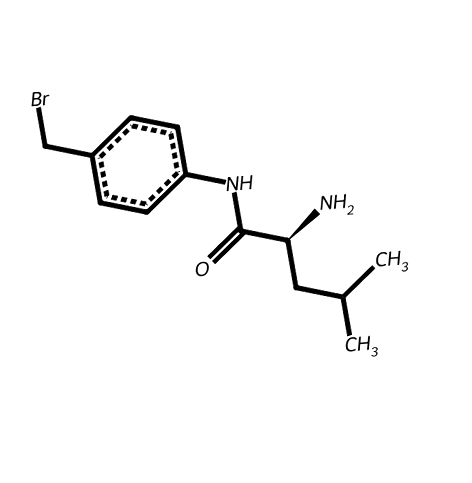 CC(C)C[C@H](N)C(=O)Nc1ccc(CBr)cc1